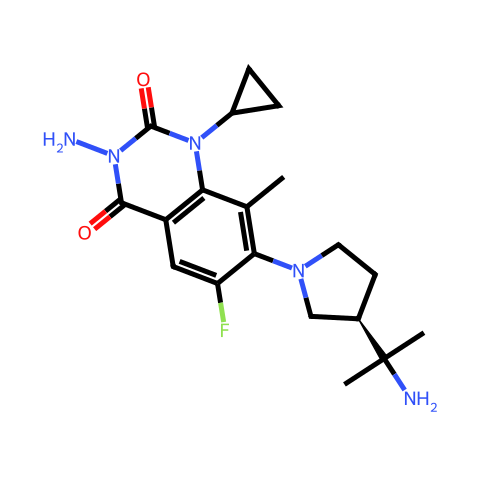 Cc1c(N2CC[C@@H](C(C)(C)N)C2)c(F)cc2c(=O)n(N)c(=O)n(C3CC3)c12